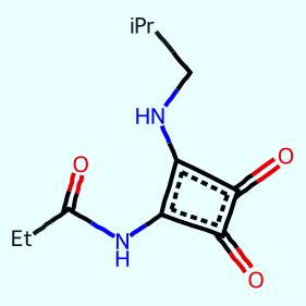 CCC(=O)Nc1c(NCC(C)C)c(=O)c1=O